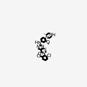 COc1cc(Nc2ncc3c(n2)SCN(c2c(Cl)cccc2Cl)C3=O)ccc1N1CCNC[C@H]1C